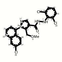 COCc1c(C(=O)NNc2c(Cl)cccc2Cl)cnn1-c1ccnc2cc(Cl)ccc12